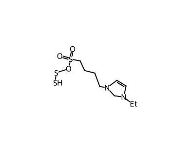 CCN1C=CN(CCCCS(=O)(=O)OSS)C1